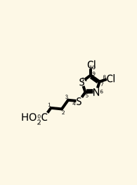 O=C(O)CCCSc1nc(Cl)c(Cl)s1